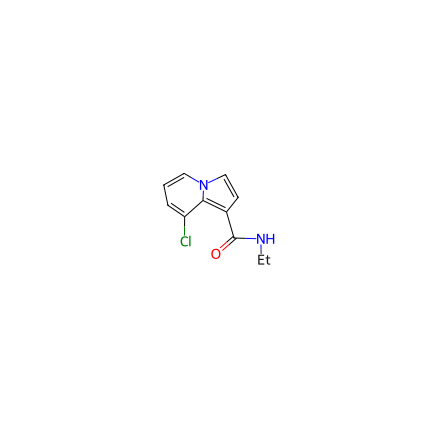 CCNC(=O)c1ccn2cccc(Cl)c12